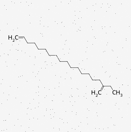 C=CCCCCCCCCCCCCCCC(=C)CC